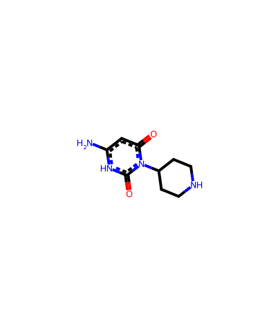 Nc1cc(=O)n(C2CCNCC2)c(=O)[nH]1